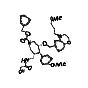 COCCCN1CCOc2ccc(CO[C@H]3CN(C(=O)OCc4ccccc4)C[C@@H](CNC(=O)CO)[C@@H]3c3ccc(OC)cc3)cc21